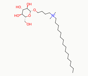 CCCCCCCCCCCCCCCC[N+](C)(C)CCCCO[C@@H]1O[C@H](CO)[C@@H](O)[C@H](O)[C@H]1O